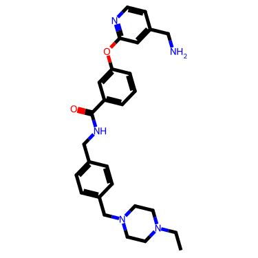 CCN1CCN(Cc2ccc(CNC(=O)c3cccc(Oc4cc(CN)ccn4)c3)cc2)CC1